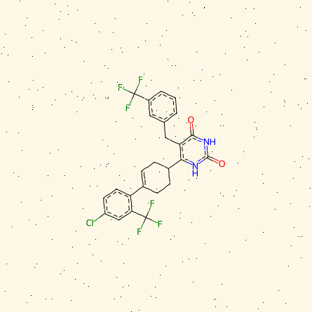 O=c1[nH]c(C2CC=C(c3ccc(Cl)cc3C(F)(F)F)CC2)c(Cc2cccc(C(F)(F)F)c2)c(=O)[nH]1